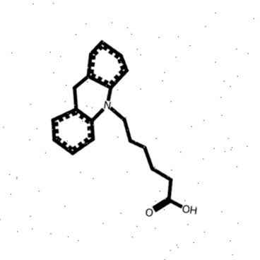 O=C(O)CCCCCN1c2ccccc2Cc2ccccc21